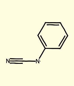 N#C[N]c1ccccc1